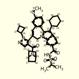 COc1ccc2c(c1)C=C(c1c(C(=O)N3C4CCC3CC4)cnn1C1CCC1)Cn1c-2c(C2CCCCC2)c2ccc(C(=O)NS(=O)(=O)C(C)C)cc21